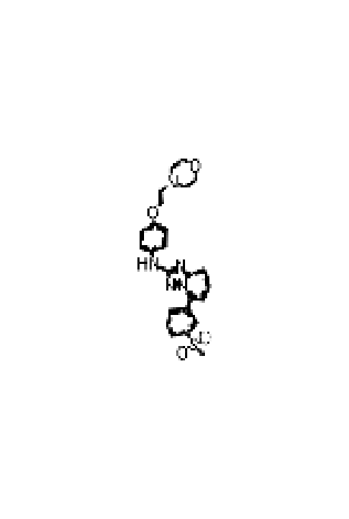 CS(=O)(=O)c1cccc(-c2cccc3nc(Nc4ccc(OCCN5CCOCC5)cc4)nn23)c1